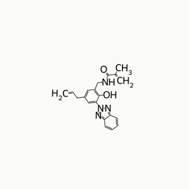 C=CCc1cc(CNC(=O)C(=C)C)c(O)c(-n2nc3ccccc3n2)c1